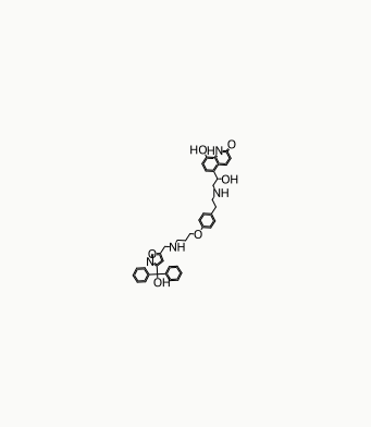 O=c1ccc2c([C@@H](O)CNCCc3ccc(OCCCNCc4cc(C(O)(c5ccccc5)c5ccccc5)no4)cc3)ccc(O)c2[nH]1